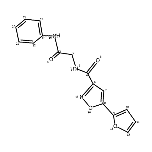 O=C(CNC(=O)c1cc(-c2ccco2)on1)Nc1ccccc1